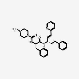 CN1CCN(C(=O)N[C@@H](Cc2ccccc2)C(=O)N[C@H](/C=C/c2ccccn2)CCc2ccccc2)CC1